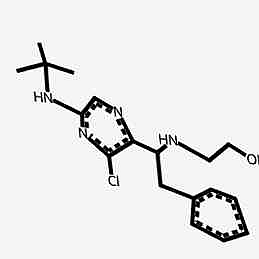 CC(C)(C)Nc1cnc(C(Cc2ccccc2)NCCO)c(Cl)n1